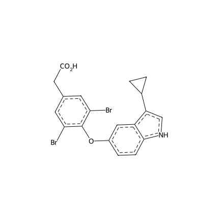 O=C(O)Cc1cc(Br)c(Oc2ccc3[nH]cc(C4CC4)c3c2)c(Br)c1